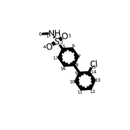 CNS(=O)(=O)c1ccc(-c2ccccc2Cl)cc1